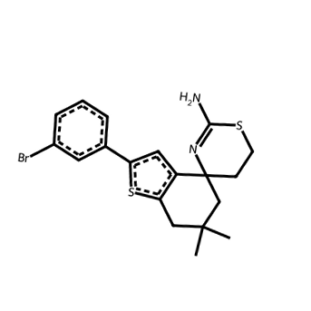 CC1(C)Cc2sc(-c3cccc(Br)c3)cc2C2(CCSC(N)=N2)C1